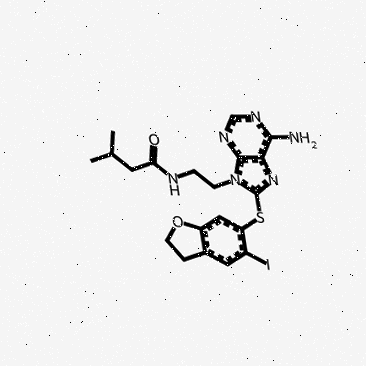 CC(C)CC(=O)NCCn1c(Sc2cc3c(cc2I)CCO3)nc2c(N)ncnc21